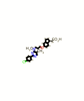 Cc1cnc(-c2ccc(Cl)cc2)nc1N(C)CCCOc1ccc2c(c1)CC[C@H]2CC(=O)O